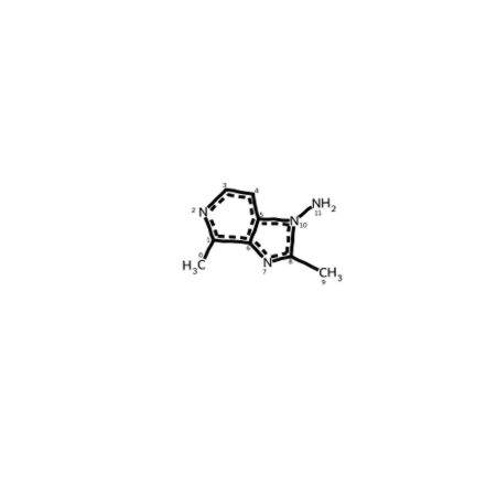 Cc1nccc2c1nc(C)n2N